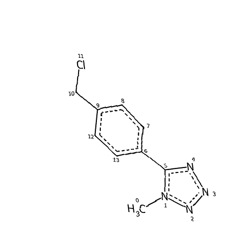 Cn1nnnc1-c1ccc(CCl)cc1